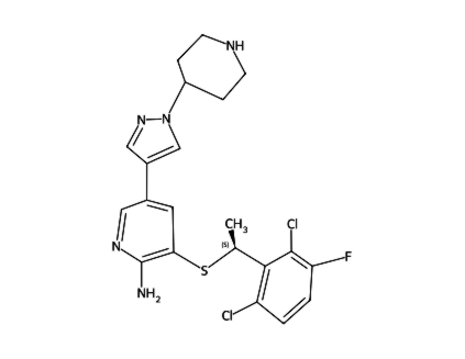 C[C@H](Sc1cc(-c2cnn(C3CCNCC3)c2)cnc1N)c1c(Cl)ccc(F)c1Cl